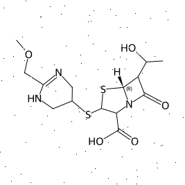 COCC1=NCC(SC2S[C@@H]3C(C(C)O)C(=O)N3C2C(=O)O)CN1